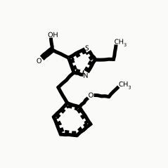 CCOc1ccccc1Cc1nc(CC)sc1C(=O)O